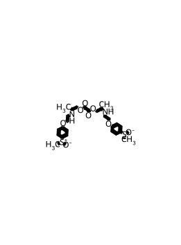 CC(COC(=O)C(=O)OCC(C)NCCOc1ccc([S+](C)[O-])cc1)NCCOc1ccc([S+](C)[O-])cc1